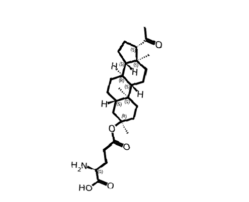 CC(=O)[C@H]1CC[C@H]2[C@@H]3CC[C@H]4C[C@](C)(OC(=O)CC[C@H](N)C(=O)O)CC[C@]4(C)[C@H]3CC[C@]12C